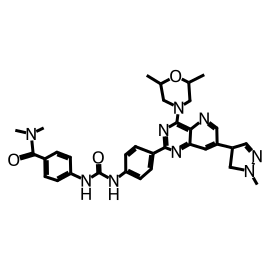 CC1CN(c2nc(-c3ccc(NC(=O)Nc4ccc(C(=O)N(C)C)cc4)cc3)nc3cc(C4C=NN(C)C4)cnc23)CC(C)O1